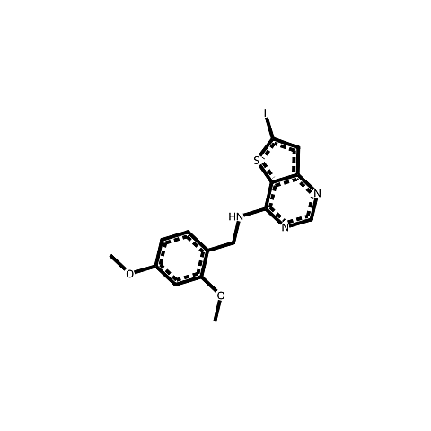 COc1ccc(CNc2ncnc3cc(I)sc23)c(OC)c1